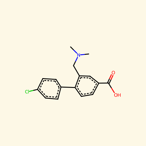 CN(C)Cc1cc(C(=O)O)ccc1-c1ccc(Cl)cc1